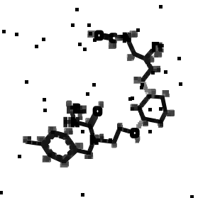 CCCCNC(=O)N(CCO[C@H]1CCC[C@@H](CCC(CC)CN=C=O)C1)Cc1ccc(C)cc1